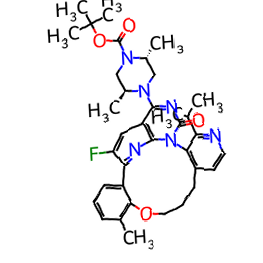 Cc1cccc2c1OCCCc1ccnc(C(C)C)c1-n1c(=O)nc(N3C[C@@H](C)N(C(=O)OC(C)(C)C)C[C@@H]3C)c3cc(F)c-2nc31